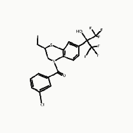 CCC1CN(C(=O)c2cccc(Cl)c2)c2ccc(C(O)(C(F)(F)F)C(F)(F)F)cc2S1